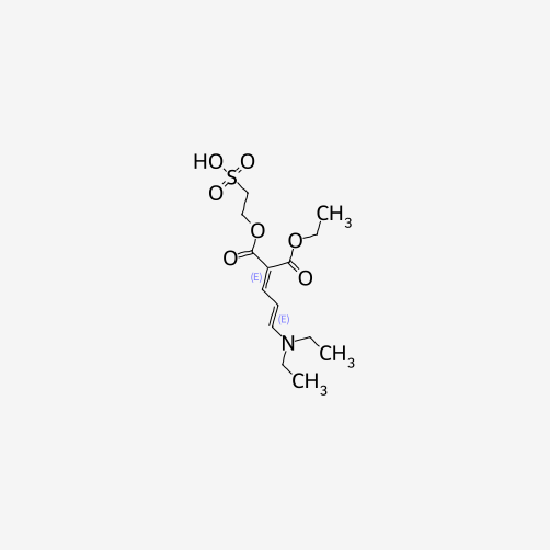 CCOC(=O)/C(=C\C=C\N(CC)CC)C(=O)OCCS(=O)(=O)O